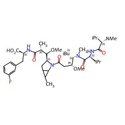 CC[C@H](C)[C@@H]([C@@H](CC(=O)N1C2C(C)C2C[C@H]1C(OC)[C@@H](C)C(=O)N[C@@H](Cc1cccc(F)c1)C(=O)O)OC)N(C)C(=O)[C@@H](NC(=O)[C@@H](NC)C(C)C)C(C)C